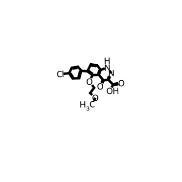 COCCOc1c(-c2ccc(Cl)cc2)ccc2[nH]nc(C(=O)O)c(=O)c12